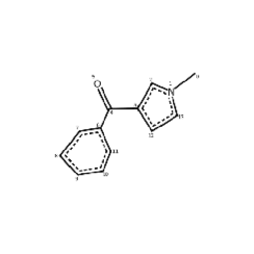 Cn1[c]c(C(=O)c2ccccc2)cc1